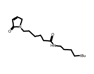 CC(C)(C)CCCCNC(=O)CCCCCN1CC=CC1=O